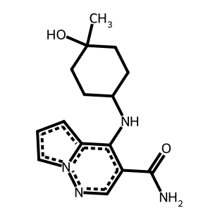 CC1(O)CCC(Nc2c(C(N)=O)cnn3cccc23)CC1